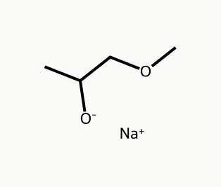 COCC(C)[O-].[Na+]